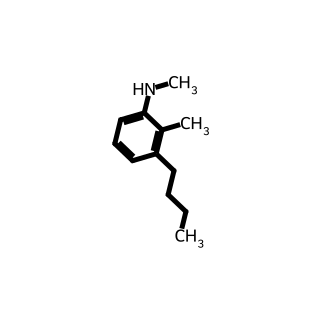 CCCCc1cccc(NC)c1C